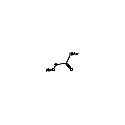 C[N]C(=O)[N]OC